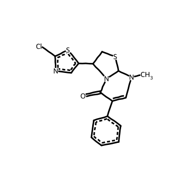 CN1C=C(c2ccccc2)C(=O)N2C(c3cnc(Cl)s3)CSC12